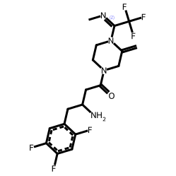 C=C1CN(C(=O)CC(N)Cc2cc(F)c(F)cc2F)CCN1/C(=N\C)C(F)(F)F